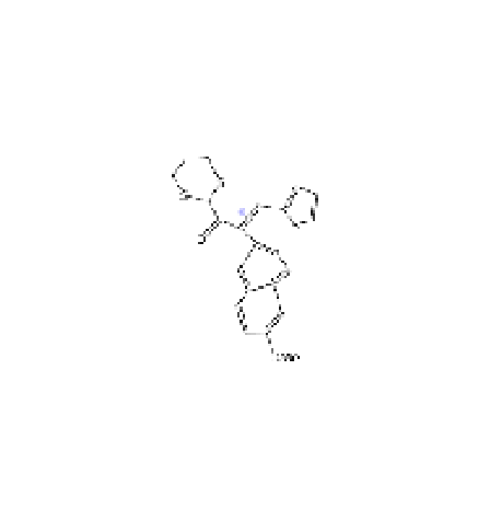 COc1ccc2cc(/C(=C\c3cccs3)C(=O)C3SCCCS3)ccc2c1